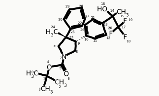 CC(C)(C)OC(=O)N1C[C@@H](c2ccc(C(C)(O)C(F)(F)F)cc2)[C@@](C)(c2ccccc2)C1